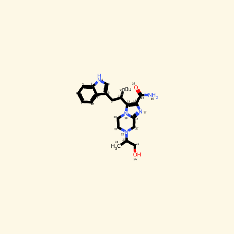 CCCCC(Cc1c[nH]c2ccccc12)c1c(C(N)=O)nc2n1CCN(C(C)CO)C2